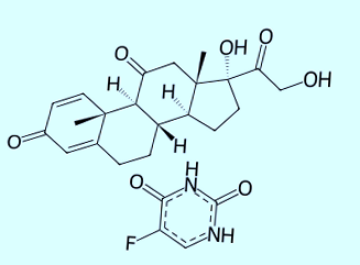 C[C@]12C=CC(=O)C=C1CC[C@@H]1[C@@H]2C(=O)C[C@@]2(C)[C@H]1CC[C@]2(O)C(=O)CO.O=c1[nH]cc(F)c(=O)[nH]1